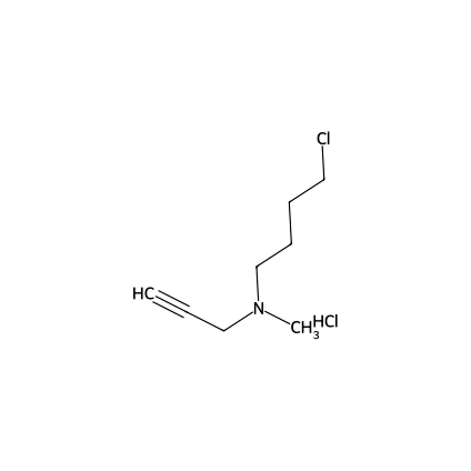 C#CCN(C)CCCCCl.Cl